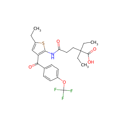 CCc1cc(C(=O)c2ccc(OC(F)(F)F)cc2)c(NC(=O)CCC(CC)(CC)C(=O)O)s1